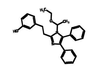 CCOC(C)n1c(CCc2cccc(O)c2)nc(-c2ccccc2)c1-c1ccccc1